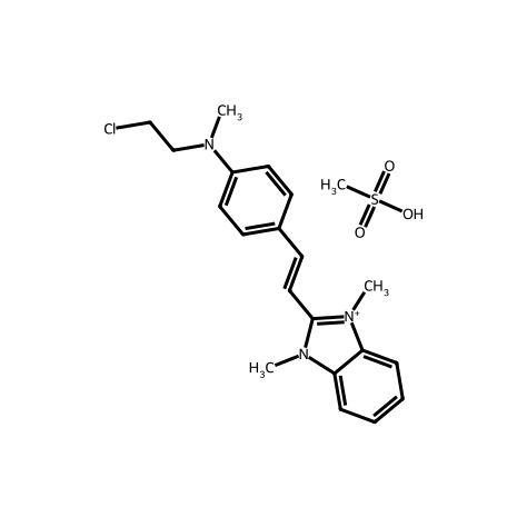 CN(CCCl)c1ccc(C=Cc2n(C)c3ccccc3[n+]2C)cc1.CS(=O)(=O)O